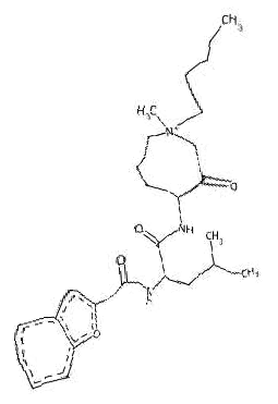 CCCCC[N+]1(C)CCCC(NC(=O)C(CC(C)C)NC(=O)c2cc3ccccc3o2)C(=O)C1